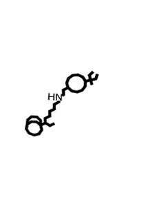 CCC(CCCCCCNCCC1CCCCCC(C(C)(CC)CC)CCCC1)C12CCCCCC(CCCC1)CC2